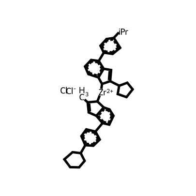 CC1=Cc2c(-c3ccc(C4CCCCC4)cc3)cccc2[CH]1[Zr+2][CH]1C(C2CCCC2)=Cc2c(-c3ccc(C(C)C)cc3)cccc21.[Cl-].[Cl-]